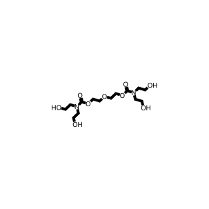 O=C(OCCOCCOC(=O)N(CCO)CCO)N(CCO)CCO